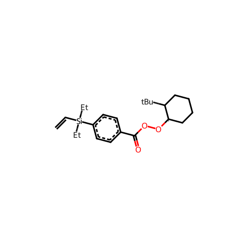 C=C[Si](CC)(CC)c1ccc(C(=O)OO[C]2CCCCC2C(C)(C)C)cc1